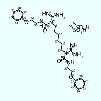 CS(=O)(=O)O.CS(=O)(=O)O.N=C(N)N(CCCCCCN(C(=N)N)C(=O)NCCOc1ccccc1)C(=O)NCCOc1ccccc1